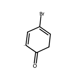 O=C1[C]=CC(Br)=CC1